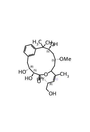 CCC[C@H](/C=C(/C)C1C[C@@H](OC)C[C@H](O)C(C)(C)c2cccc(c2)C[C@@H](O)[C@H](O)C(=O)O1)CO